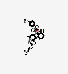 CC(C)CC(C(=O)c1nnc(SCCN(C)C)o1)N(C=O)C1(NC(=O)Oc2ccc(Br)cc2)CCCCC1